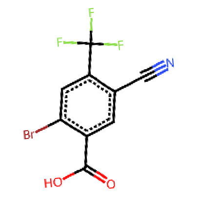 N#Cc1cc(C(=O)O)c(Br)cc1C(F)(F)F